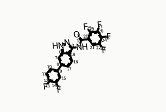 O=C(Nc1n[nH]c2cc(-c3ccc(F)c(F)c3)ccc12)c1cc(F)c(F)c(F)c1F